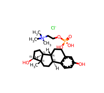 C[C@]12CC[C@@H]3c4ccc(O)cc4CC[C@H]3[C@@H]1CC[C@@H]2O.C[N+](C)(C)CCOP(=O)(O)O.[Cl-]